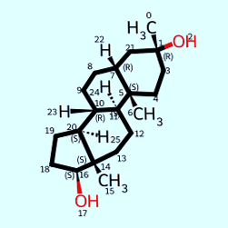 C[C@@]1(O)CC[C@@]2(C)[C@H](CC[C@@H]3[C@@H]2CC[C@]2(C)[C@@H](O)CC[C@@H]32)C1